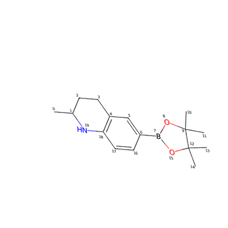 CC1CCc2cc(B3OC(C)(C)C(C)(C)O3)ccc2N1